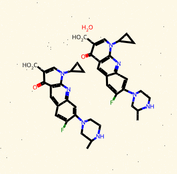 CC1CN(c2cc3nc4c(cc3cc2F)c(=O)c(C(=O)O)cn4C2CC2)CCN1.CC1CN(c2cc3nc4c(cc3cc2F)c(=O)c(C(=O)O)cn4C2CC2)CCN1.O